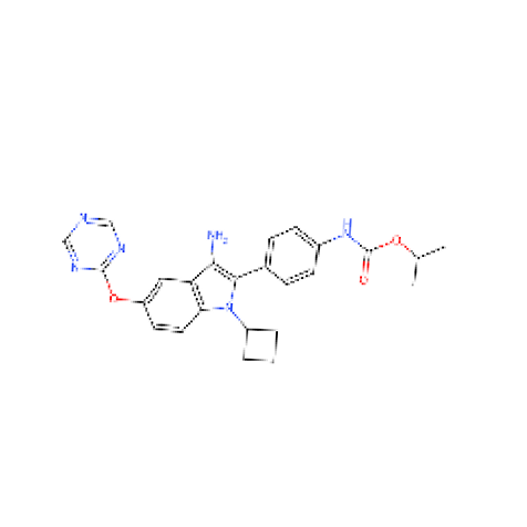 CC(C)OC(=O)Nc1ccc(-c2c(N)c3cc(Oc4ncncn4)ccc3n2C2CCC2)cc1